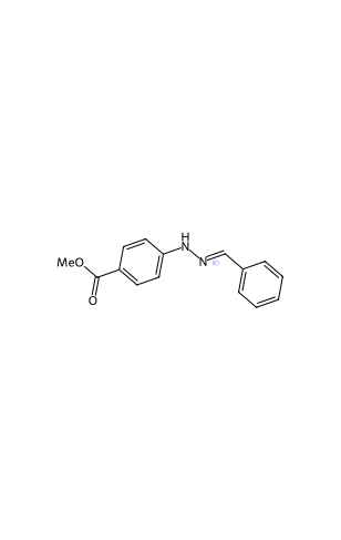 COC(=O)c1ccc(N/N=C/c2ccccc2)cc1